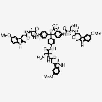 COc1ccc2[nH]c(C)c(CC(=O)N[C@](C)(CN)C(=O)Nc3ccc(C(OC(=O)C(F)(F)F)(c4ccc(NC(=O)[C@@](C)(CN)NC(=O)Cc5c(C)[nH]c6ccc(OC)cc56)cc4)c4ccc(NC(=O)[C@@](C)(CN)NC(=O)Cc5c(C)[nH]c6ccc(OC)cc56)cc4)cc3)c2c1